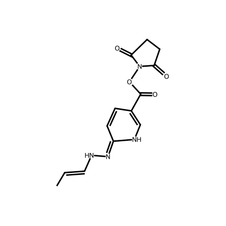 CC=CNN=c1ccc(C(=O)ON2C(=O)CCC2=O)c[nH]1